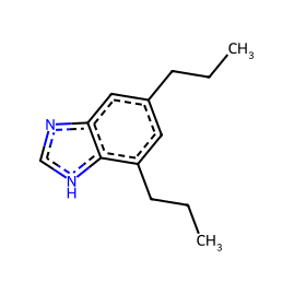 CCCc1cc(CCC)c2[nH]cnc2c1